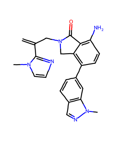 C=C(CN1Cc2c(-c3ccc4cnn(C)c4c3)ccc(N)c2C1=O)c1nccn1C